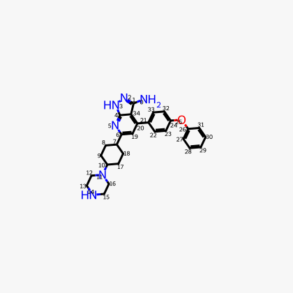 Nc1n[nH]c2nc(C3CCC(N4CCNCC4)CC3)cc(-c3ccc(Oc4ccccc4)cc3)c12